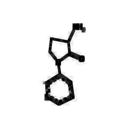 NC1CCN(c2[c]nccc2)C1=O